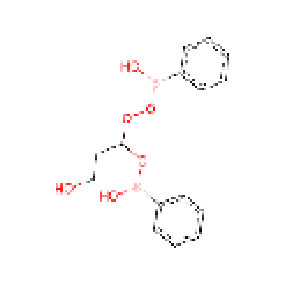 OCCC(OOB(O)c1ccccc1)OB(O)c1ccccc1